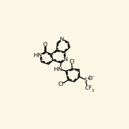 O=c1[nH]ccc2c(Nc3c(Cl)cc([S+]([O-])C(F)(F)F)cc3Cl)nc3ccncc3c12